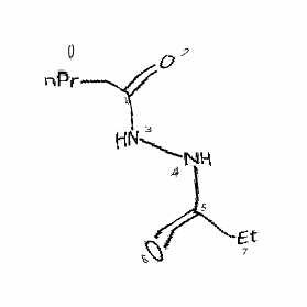 CCCC(=O)NNC(=O)CC